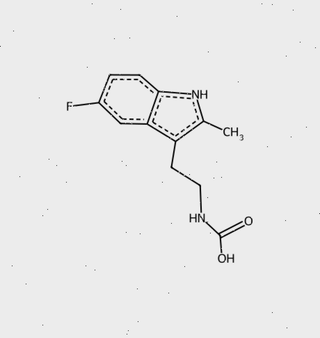 Cc1[nH]c2ccc(F)cc2c1CCNC(=O)O